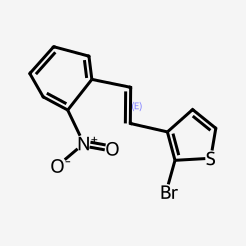 O=[N+]([O-])c1ccccc1/C=C/c1ccsc1Br